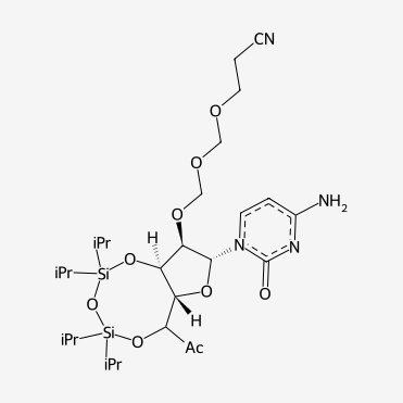 CC(=O)C1O[Si](C(C)C)(C(C)C)O[Si](C(C)C)(C(C)C)O[C@H]2[C@@H](OCOCOCCC#N)[C@H](n3ccc(N)nc3=O)O[C@H]12